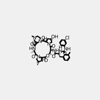 Cc1cccc(C[C@H](NC(=O)Nc2cccc(Cl)c2)C(=O)N[C@@H]2C(=O)N3C[C@H](O)C[C@H]3C(=O)N3CCN(C)C[C@H]3C(=O)N[C@@H](C)C(=O)N3C[C@H](C)C[C@H]3C(=O)O[C@H]2C)c1